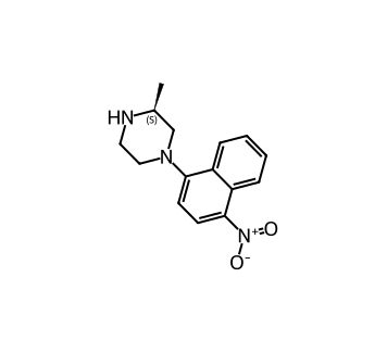 C[C@H]1CN(c2ccc([N+](=O)[O-])c3ccccc23)CCN1